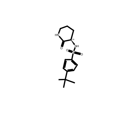 CC(C)(C)c1ccc(S(=O)(=O)N[C@@H]2CCCNC2=O)cc1